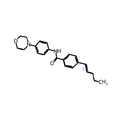 CCC/C=C/c1ccc(C(=O)Nc2ccc(N3CCOCC3)cc2)cc1